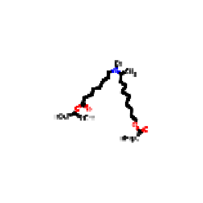 CCCCCCCCC(CCCCCCCC)OC(=O)CCCCCCCN(CC)C(C)CCCCCCCCOC(=O)CCCCCCC